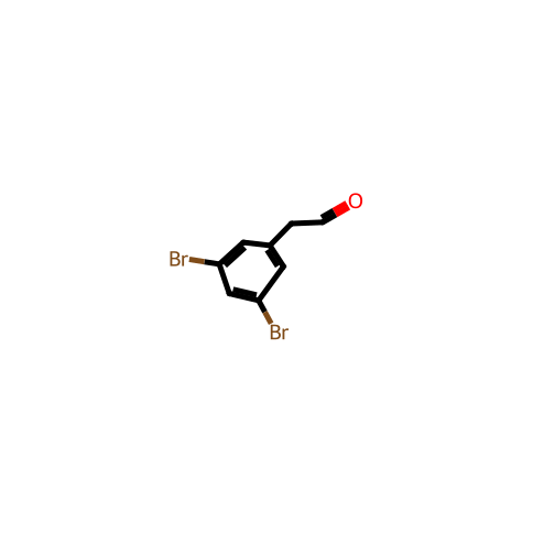 O=CCc1cc(Br)cc(Br)c1